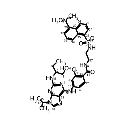 CCC(CO)Nc1nc(Nc2ccc(C(=O)NCCNS(=O)(=O)c3cccc4c(N(C)C)cccc34)c(Cl)c2)c2ncn(C(C)C)c2n1